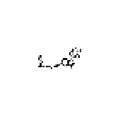 C=CCN(C)CCCC#Cc1ccc2c(c1)c(C)cn2C(=O)OC(C)(C)C